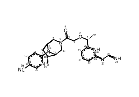 C[C@@H](OCC(=O)N1CC2C[C@H](C)C(C1)N2c1ccc(C#N)cn1)c1ccc/c(=N/C=N)[nH]1